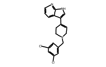 Clc1cc(Cl)cc(CN2CC=C(c3c[nH]c4ncccc34)CC2)c1